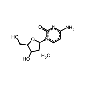 Nc1ccn([C@H]2CC(O)[C@@H](CO)O2)c(=O)n1.O